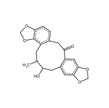 CN1Cc2c(ccc3c2OCO3)CC(=O)c2cc3c(cc2CC1O)OCO3